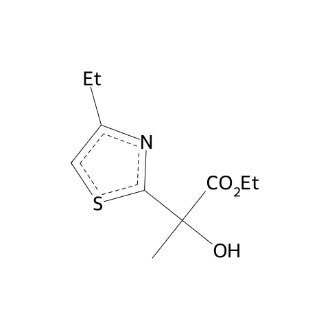 CCOC(=O)C(C)(O)c1nc(CC)cs1